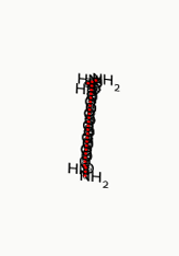 NCCNC(=O)CCOCCOCCOCCOCCOCCOCCOCCOCCOCCOCCOCCOCCNC(=O)c1cccc(NC(N)=O)c1